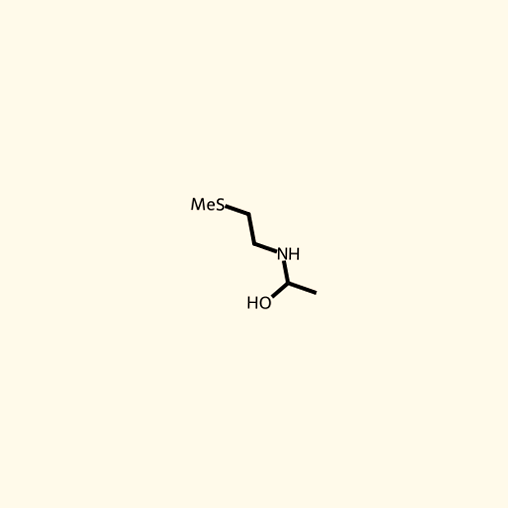 CSCCNC(C)O